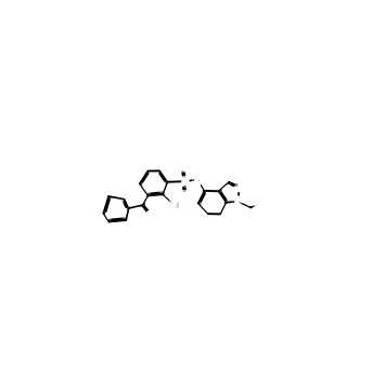 Nc1c(C(=O)c2ccccc2)cccc1S(=O)(=O)NC1=CCCc2c1cnn2CC(=O)O